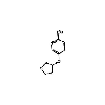 CC(C)(C)c1ccc(OC2CCOC2)cn1